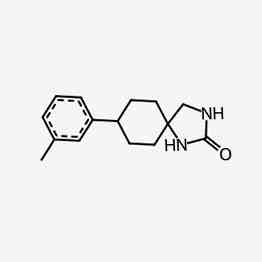 Cc1cccc(C2CCC3(CC2)CNC(=O)N3)c1